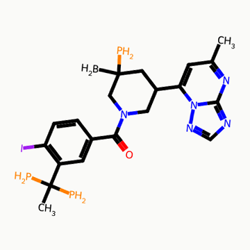 BC1(P)CC(c2cc(C)nc3ncnn23)CN(C(=O)c2ccc(I)c(C(C)(P)P)c2)C1